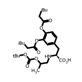 CCC(C)CC(=O)Oc1ccc(C[C@H](NCC(C)OC(=O)OC(C)(C)C)C(=O)O)cc1OC(=O)CC(C)CC